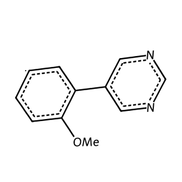 COc1cc[c]cc1-c1cncnc1